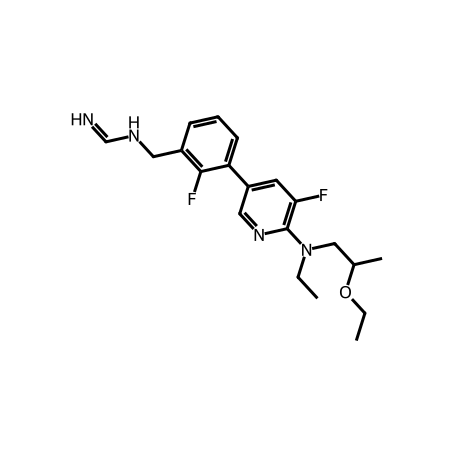 CCOC(C)CN(CC)c1ncc(-c2cccc(CNC=N)c2F)cc1F